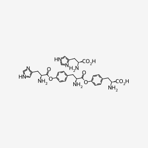 N[C@@H](Cc1c[nH]cn1)C(=O)O.N[C@@H](Cc1ccc(OC(=O)[C@@H](N)Cc2ccc(OC(=O)[C@@H](N)Cc3c[nH]cn3)cc2)cc1)C(=O)O